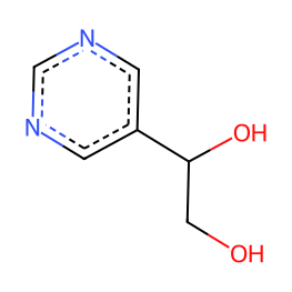 OCC(O)c1cncnc1